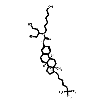 C[C@]12CC[C@@H]3c4ccc(OC(=O)N(CCCCCCO)C(CS)CCS)cc4CC[C@H]3[C@@H]1CC[C@@H]2OCCCOC(C(F)(F)F)(C(F)(F)F)C(F)(F)F